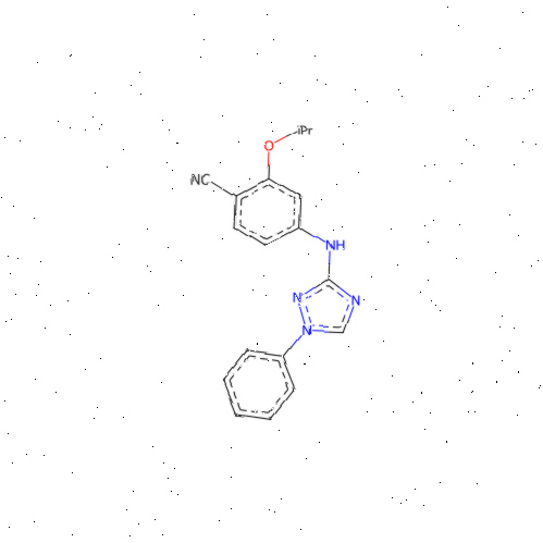 CC(C)Oc1cc(Nc2ncn(-c3ccccc3)n2)ccc1C#N